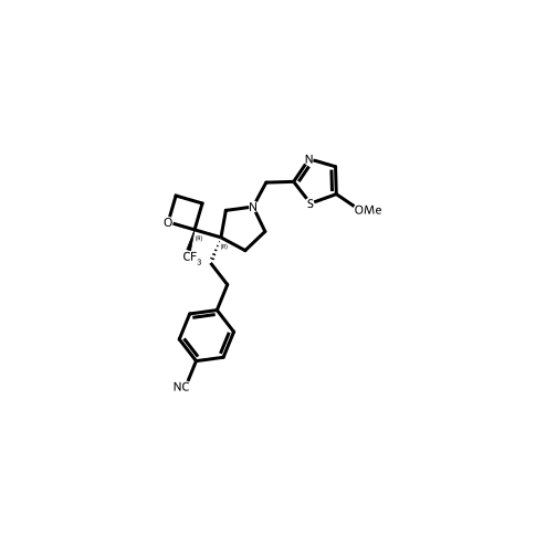 COc1cnc(CN2CC[C@@](CCc3ccc(C#N)cc3)([C@@]3(C(F)(F)F)CCO3)C2)s1